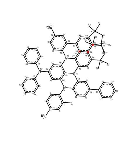 Cc1cc(C(C)(C)C)ccc1N1c2ccc(-c3ccccc3)cc2B2c3cc4c(cc3N(c3ccc(C(C)(C)C)cc3-c3ccc5c(c3)C(C)(C)CC5(C)C)c3cc(N(c5ccccc5)c5ccccc5)cc1c32)C(C)(C)CCC4(C)C